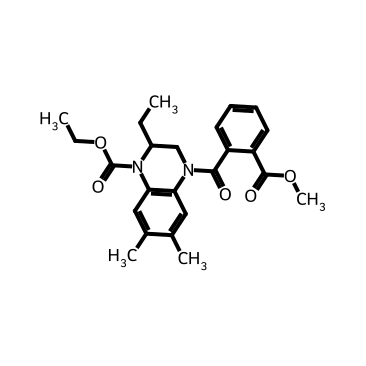 CCOC(=O)N1c2cc(C)c(C)cc2N(C(=O)c2ccccc2C(=O)OC)CC1CC